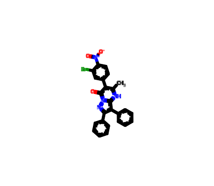 Cc1[nH]c2c(-c3ccccc3)c(-c3ccccc3)nn2c(=O)c1-c1ccc([N+](=O)[O-])c(Br)c1